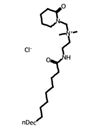 CCCCCCCCCCCCCCCCCC(=O)NCC[N+](C)(C)CN1CCCCC1=O.[Cl-]